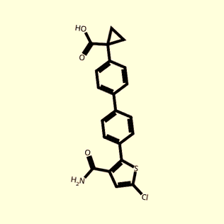 NC(=O)c1cc(Cl)sc1-c1ccc(-c2ccc(C3(C(=O)O)CC3)cc2)cc1